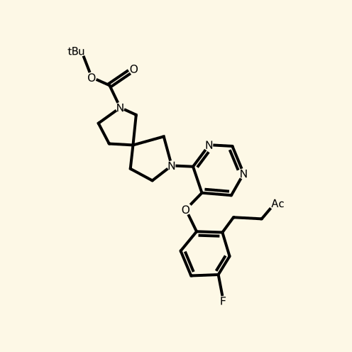 CC(=O)CCc1cc(F)ccc1Oc1cncnc1N1CCC2(CCN(C(=O)OC(C)(C)C)C2)C1